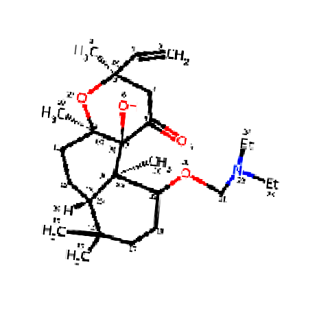 C=C[C@@]1(C)CC(=O)[C@@]2(O)[C@@](C)(CC[C@H]3C(C)(C)CCC(OCN(CC)CC)[C@@]32C)O1